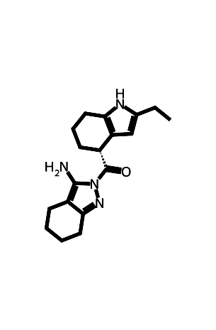 CCc1cc2c([nH]1)CCC[C@H]2C(=O)n1nc2c(c1N)CCCC2